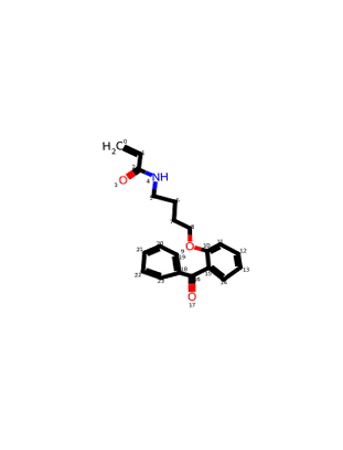 C=CC(=O)NCCCCOc1ccccc1C(=O)c1ccccc1